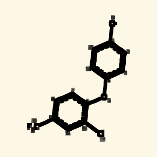 [O]c1ccc(Oc2ccc(C(F)(F)F)cc2Cl)cc1